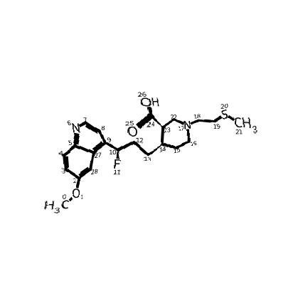 COc1ccc2nccc([C@H](F)CC[C@@H]3CCN(CCSC)C[C@@H]3C(=O)O)c2c1